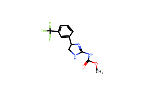 COC(=O)NC1=NC(c2cccc(C(F)(F)F)c2)CN1